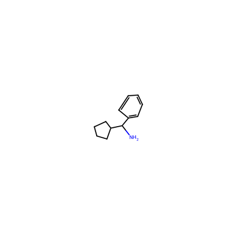 NC(c1ccccc1)C1CCCC1